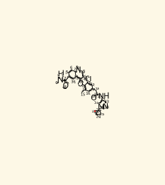 CNC(=O)c1ccc2nccc(Oc3c(C)cc(CC(=O)Nc4cnn(C56CC(C5)C6)c4)cc3Cl)c2c1